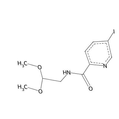 COC(CNC(=O)c1ccc(I)cn1)OC